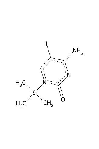 C[Si](C)(C)n1cc(I)c(N)nc1=O